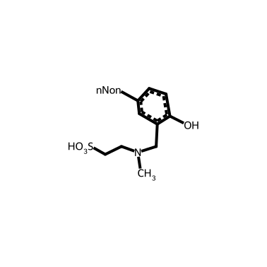 CCCCCCCCCc1ccc(O)c(CN(C)CCS(=O)(=O)O)c1